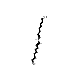 OCCCCCCC=COC=CCCCCCCO